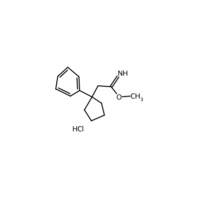 COC(=N)CC1(c2ccccc2)CCCC1.Cl